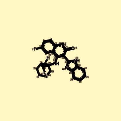 O=c1[nH]c2ccc(F)cc2c(N[C@@H]2CN3CCC2CC3)c1-c1nc2ccccc2[nH]1